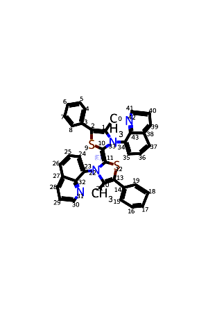 CC1=C(c2ccccc2)S/C(=C2/SC(c3ccccc3)=C(C)N2c2cccc3cccnc23)N1c1cccc2cccnc12